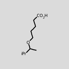 CC(C)C(C)OCCCCC(=O)O